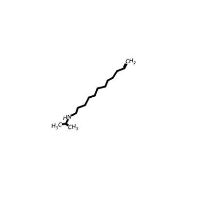 C=CCCCCCCCCCCNC(C)C